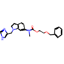 CN(C(=O)OCCOCc1ccccc1)c1ccc2c(c1)N(Cc1c[nH]cn1)CC2